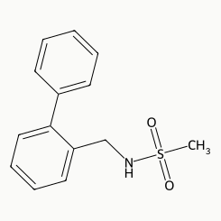 CS(=O)(=O)NCc1ccccc1-c1ccccc1